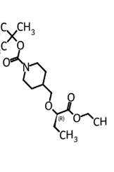 CCOC(=O)[C@@H](CC)OCC1CCN(C(=O)OC(C)(C)C)CC1